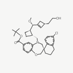 CO[C@@H](C1=C[C@H](CCO)C1)[C@@H]1CC[C@H]1CN1C[C@@]2(CCCc3cc(Cl)ccc32)COc2ccc(C(=O)OC(C)(C)C)cc21